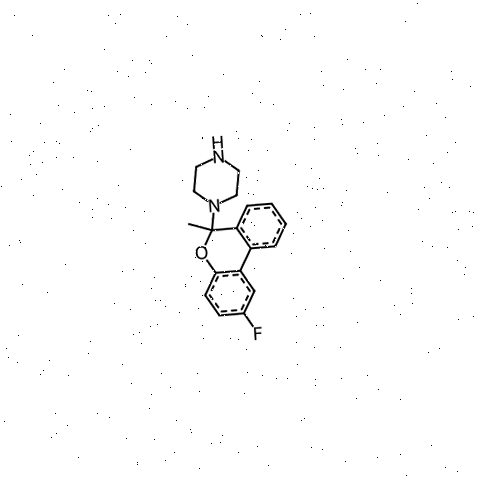 CC1(N2CCNCC2)Oc2ccc(F)cc2-c2ccccc21